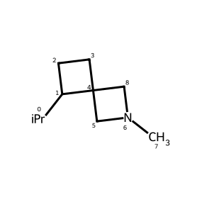 CC(C)C1CCC12CN(C)C2